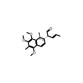 C/C=C/C(C=O)[C@@H]1C=Cc2c(OC)c(C)c(OC)c(OC)c2[C@H]1C